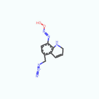 [N-]=[N+]=NCc1ccc(N=NOO)c2c1C=CCN2